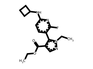 CCOC(=O)c1cnn(CC)c1-c1ccc(NC2CCC2)nc1F